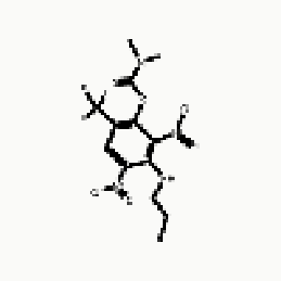 CCCNc1c([N+](=O)[O-])cc(C(F)(F)F)c(SC(=S)N(C)C)c1[N+](=O)[O-]